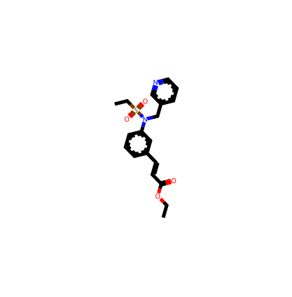 CCOC(=O)C=Cc1cccc(N(Cc2cccnc2)S(=O)(=O)CC)c1